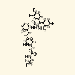 N[C@H](C(=O)Nc1cccc(F)c1CC[C@@H]1CN[C@H](COC(=O)NCC(F)(F)F)CO1)[C@H](c1ccc(F)cc1)c1ccc(F)c(F)c1